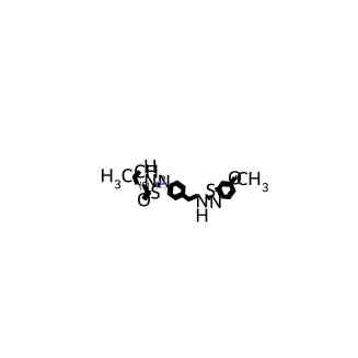 COc1ccc2nc(NCCc3ccc(/N=C4/N[C@@H](CC(C)C)C(=O)S4)cc3)sc2c1